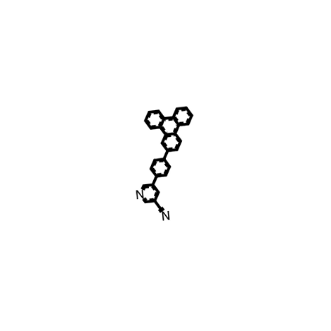 N#Cc1cncc(-c2ccc(-c3ccc4c5ccccc5c5ccccc5c4c3)cc2)c1